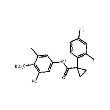 CCOC(=O)c1c(C)cc(NC(=O)C2(c3ccc(C(F)(F)F)cc3F)CC2)cc1C#N